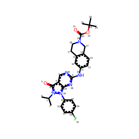 CC(C)n1c(=O)c2cnc(Nc3ccc4c(c3)CCN(C(=O)OC(C)(C)C)C4)nc2n1-c1ccc(F)cc1